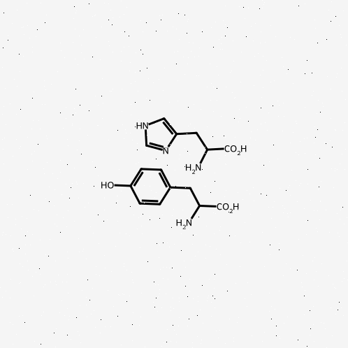 NC(Cc1c[nH]cn1)C(=O)O.NC(Cc1ccc(O)cc1)C(=O)O